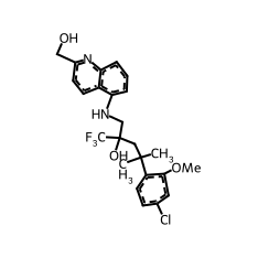 COc1cc(Cl)ccc1C(C)(C)CC(O)(CNc1cccc2nc(CO)ccc12)C(F)(F)F